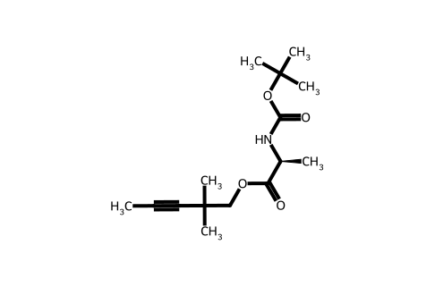 CC#CC(C)(C)COC(=O)[C@H](C)NC(=O)OC(C)(C)C